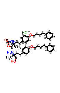 CC(N)(CO)CCc1ccc(OCCCCc2ccccc2)cc1.CC1(CCc2ccc(OCCCCc3ccccc3)cc2)COC(=O)N1.Cl